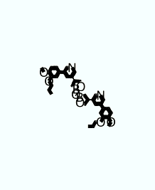 CCCOc1cc(-c2cncc([C@H]3COB(OB4C[C@@H](c5cncc(-c6ccc(OC)c(OCCC)c6)c5)CO4)C3)c2)ccc1OC